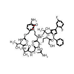 CC(C)C(NC(=O)OCc1ccccc1)C(=O)N[C@@H](C)C(=O)N[C@@H](CC(N)=O)C(=O)N[C@@H](CCN(C(=O)CO)[C@@H](c1cc(-c2cc(F)ccc2F)cn1Cc1ccccc1)C(C)(C)C)C(=O)NCCNC(=O)CN